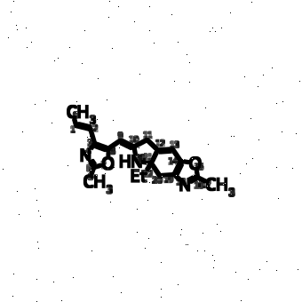 C/C=C/c1nc(C)oc1/C=C1/CC2=Cc3oc(C)nc3CC2(CC)N1